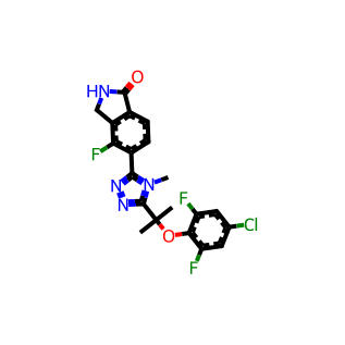 Cn1c(-c2ccc3c(c2F)CNC3=O)nnc1C(C)(C)Oc1c(F)cc(Cl)cc1F